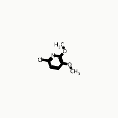 COc1c[c]c(Cl)nc1OC